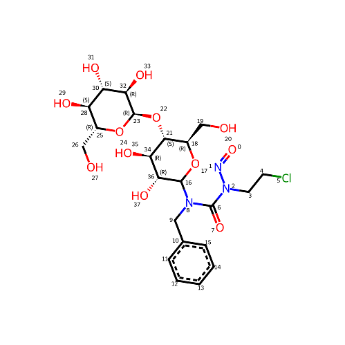 O=NN(CCCl)C(=O)N(Cc1ccccc1)C1O[C@H](CO)[C@@H](O[C@H]2O[C@H](CO)[C@@H](O)[C@H](O)[C@H]2O)[C@H](O)[C@H]1O